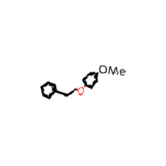 COc1ccc(OCCc2ccccc2)cc1